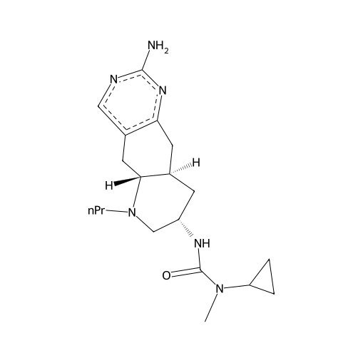 CCCN1C[C@@H](NC(=O)N(C)C2CC2)C[C@@H]2Cc3nc(N)ncc3C[C@H]21